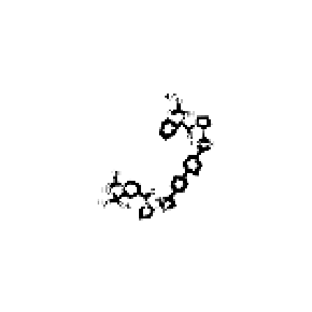 COC(=O)N[C@@H](C(=O)N1CCC[C@H]1c1ncc(-c2ccc(-c3ccc(-c4cnc([C@@H]5CCCN5C(=O)C5CCN(C(=O)O)C(C(C)(C)C)C5)[nH]4)cc3)cc2)[nH]1)c1ccccc1